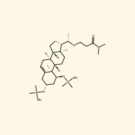 C[C@H](OCCC(=O)N(C)C)[C@H]1CC[C@H]2[C@@H]3CC=C4C[C@@H](O[Si](C)(C)C(C)(C)C)C[C@H](O[Si](C)(C)C(C)(C)C)[C@]4(C)[C@H]3CC[C@]12C